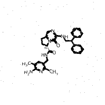 Cc1cc(CNC(=O)[C@@H]2CCc3cnc(NCC(c4ccccc4)c4ccccc4)c(=O)n32)c(C)nc1N